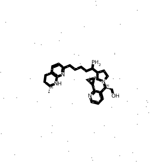 C[C@@H]1CCc2ccc(CCCCC(P)C3CCN([C@@H](CO)c4cccnc4C4CC4)C3)nc2N1